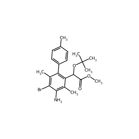 COC(=O)C(OC(C)(C)C)c1c(C)c(N)c(Br)c(C)c1-c1ccc(C)cc1